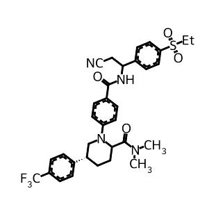 CCS(=O)(=O)c1ccc(C(CC#N)NC(=O)c2ccc(N3C[C@@H](c4ccc(C(F)(F)F)cc4)CCC3C(=O)N(C)C)cc2)cc1